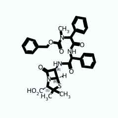 CN(C(=O)OCc1ccccc1)C(C(=O)NC(C(=O)N[C@@H]1C(=O)N2[C@@H]1SC(C)(C)[C@@H]2C(=O)O)c1ccccc1)c1ccccc1